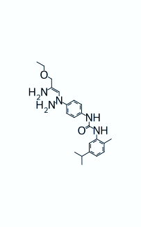 CCOC/C(N)=C/N(N)c1ccc(NC(=O)Nc2cc(C(C)C)ccc2C)cc1